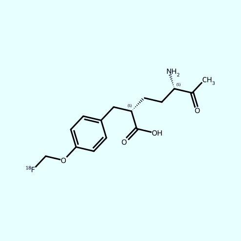 CC(=O)[C@@H](N)CC[C@@H](Cc1ccc(OC[18F])cc1)C(=O)O